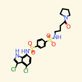 O=C(CCCNS(=O)(=O)c1ccc(S(=O)(=O)Nc2ccc(Cl)c3c(Cl)c[nH]c23)cc1)N1CCCC1